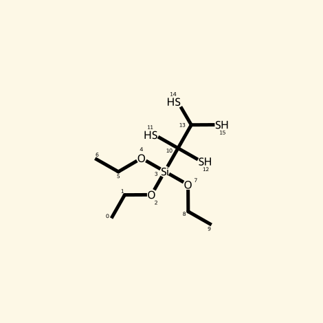 CCO[Si](OCC)(OCC)C(S)(S)[C](S)S